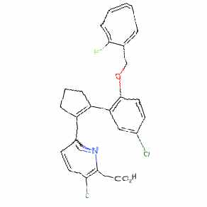 O=C(O)c1nc(C2=C(c3cc(Cl)ccc3OCc3ccccc3F)CCC2)ccc1Cl